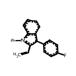 C=Cc1c(-c2ccc(F)cc2)c2ccccc2n1C(C)C